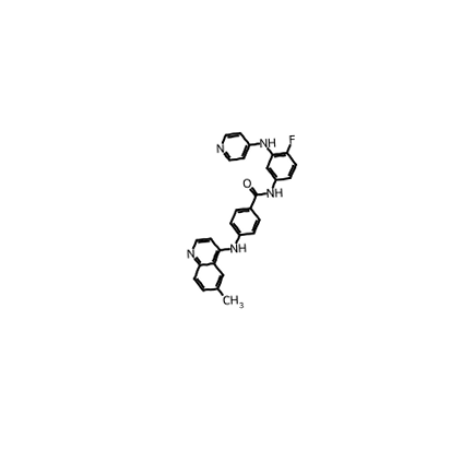 Cc1ccc2nccc(Nc3ccc(C(=O)Nc4ccc(F)c(Nc5ccncc5)c4)cc3)c2c1